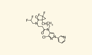 CCN(C(=O)CCN(CC(F)F)C(=O)C1(C)CC1(F)F)c1cn(-c2cccnc2)nc1Cl